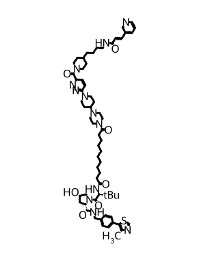 Cc1ncsc1-c1ccc(CNC(=O)[C@@H]2C[C@@H](O)CN2C(=O)[C@@H](NC(=O)CCCCCCCCCC(=O)N2CCN(C3CCN(c4ccc(C(=O)N5CCC(CCCCNC(=O)/C=C/c6cccnc6)CC5)nn4)CC3)CC2)C(C)(C)C)cc1